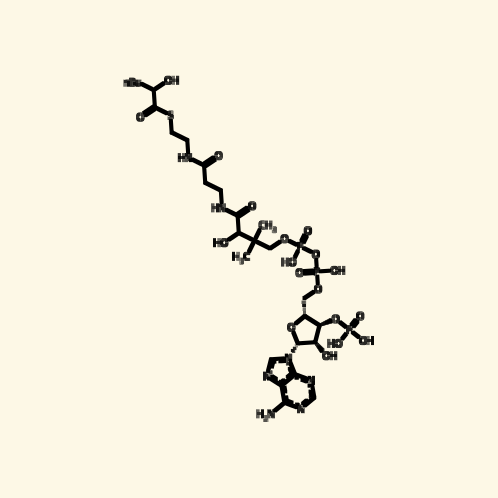 CCCCC(O)C(=O)SCCNC(=O)CCNC(=O)C(O)C(C)(C)COP(=O)(O)OP(=O)(O)OC[C@H]1O[C@@H](n2cnc3c(N)ncnc32)[C@H](O)[C@@H]1OP(=O)(O)O